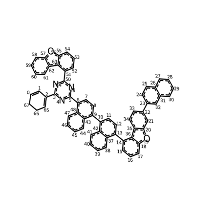 C1=CC(c2nc(-c3ccc(-c4ccc(-c5cccc6oc7cc(-c8ccc9ccccc9c8)ccc7c56)c5ccccc45)c4ccccc34)nc(-c3cccc4oc5ccccc5c34)n2)=CCC1